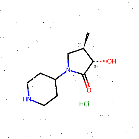 C[C@@H]1CN(C2CCNCC2)C(=O)[C@H]1O.Cl